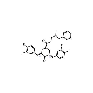 CN(CCC(=O)N1C/C(=C\c2ccc(F)c(F)c2)C(=O)/C(=C/c2ccc(F)c(F)c2)C1)Cc1ccccc1